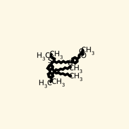 CCCCCCCCC1(CCCCCCCC)c2cc(-c3sc(C(C)C)cc3CCCCCCOc3ccc(/C=C/C(=O)OC)cc3)ccc2-c2ccc(C(C)C)cc21